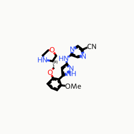 COc1cccc(OC[C@H]2COCCN2)c1-c1cc(Nc2cnc(C#N)cn2)n[nH]1